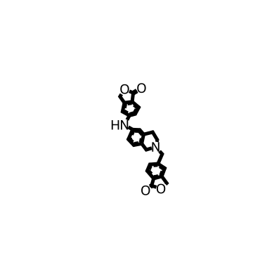 O=C1OCc2cc(CN3CCc4cc(Nc5ccc6c(c5)COC6=O)ccc4C3)ccc21